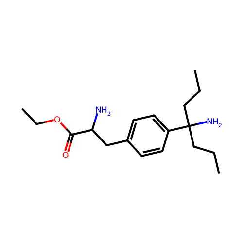 CCCC(N)(CCC)c1ccc(CC(N)C(=O)OCC)cc1